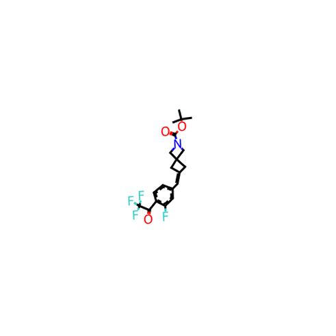 CC(C)(C)OC(=O)N1CC2(CC(=Cc3ccc(C(=O)C(F)(F)F)c(F)c3)C2)C1